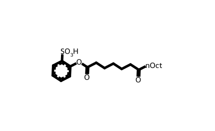 CCCCCCCCC(=O)CCCCCC(=O)Oc1ccccc1S(=O)(=O)O